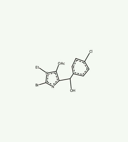 CCn1c(Br)nc(C(O)c2ccc(Cl)cc2)c1OC(C)=O